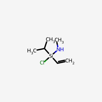 C=C[Si](Cl)(NC)C(C)C